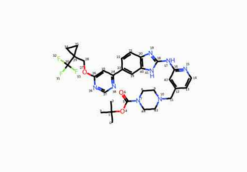 CC(C)(C)OC(=O)N1CCN(Cc2ccnc(Nc3nc4ccc(-c5cc(OCC6(C(F)(F)F)CC6)ncn5)cc4[nH]3)c2)CC1